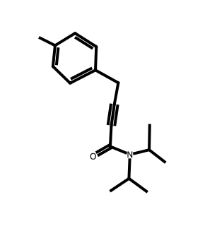 Cc1ccc(CC#CC(=O)N(C(C)C)C(C)C)cc1